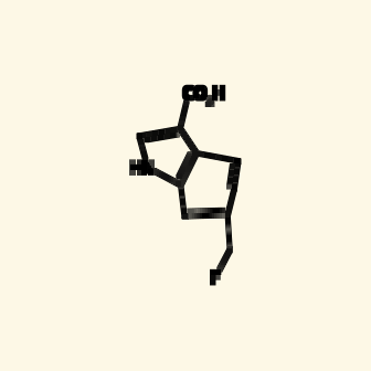 O=C(O)c1c[nH]c2cc(CF)ccc12